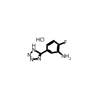 Cl.Nc1cc(-c2nnn[nH]2)ccc1F